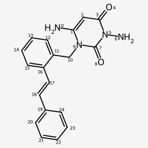 Nc1cc(=O)n(N)c(=O)n1Cc1ccccc1C=Cc1ccccc1